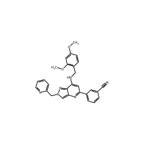 COc1ccc(CNc2cc(-c3cccc(C#N)c3)nc3cn(Cc4ccccn4)nc23)c(OC)c1